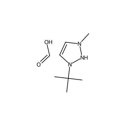 CN1C=CN(C(C)(C)C)N1.O=CO